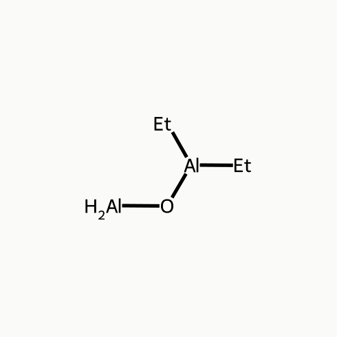 C[CH2][Al]([CH2]C)[O][AlH2]